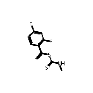 C=C(SC(=S)NC)c1ccc(F)cc1F